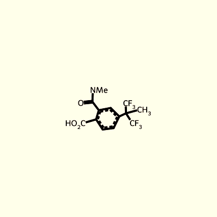 CNC(=O)c1cc(C(C)(C(F)(F)F)C(F)(F)F)ccc1C(=O)O